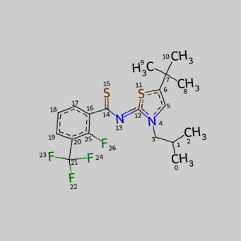 CC(C)Cn1cc(C(C)(C)C)sc1=NC(=S)c1cccc(C(F)(F)F)c1F